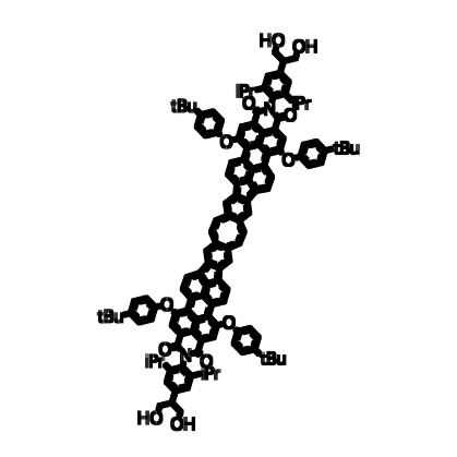 CC(C)c1cc(C(CO)CO)cc(C(C)C)c1N1C(=O)c2cc(Oc3ccc(C(C)(C)C)cc3)c3c4ccc5c6cc7ccc8cc9c(cc8ccc7cc6c6ccc(c7c(Oc8ccc(C(C)(C)C)cc8)cc(c2c37)C1=O)c4c56)c1ccc2c3c(Oc4ccc(C(C)(C)C)cc4)cc4c5c(cc(Oc6ccc(C(C)(C)C)cc6)c(c6ccc9c1c62)c53)C(=O)N(c1c(C(C)C)cc(C(CO)CO)cc1C(C)C)C4=O